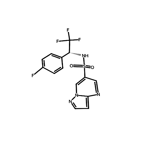 O=S(=O)(N[C@H](c1ccc(F)cc1)C(F)(F)F)c1cnc2ccnn2c1